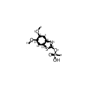 COc1cc2nc(OP(C)(=O)O)sc2cc1OC